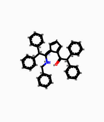 O=C(C1=CC=C/C1=C(/NCc1ccccc1)C(c1ccccc1)c1ccccc1)C(c1ccccc1)c1ccccc1